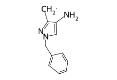 [CH2]c1nn(Cc2ccccc2)cc1N